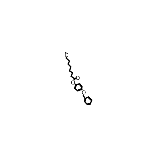 CCCCCCCCCC(=O)Oc1ccc(OCc2ccccc2)cc1